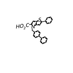 O=C(O)c1cc2sc(-c3ccccc3)cc2n1Cc1ccc(-c2ccccc2)cc1